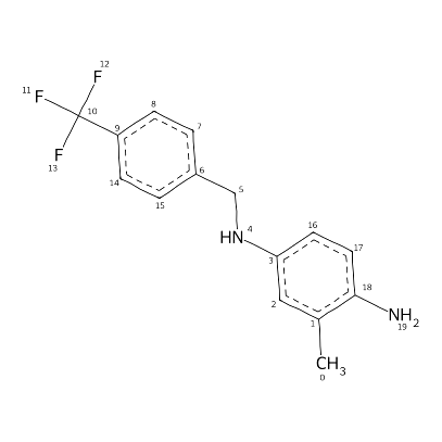 Cc1cc(NCc2ccc(C(F)(F)F)cc2)ccc1N